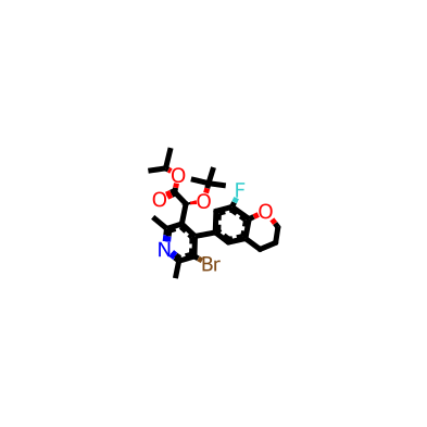 Cc1nc(C)c([C@H](OC(C)(C)C)C(=O)OC(C)C)c(-c2cc(F)c3c(c2)CCCO3)c1Br